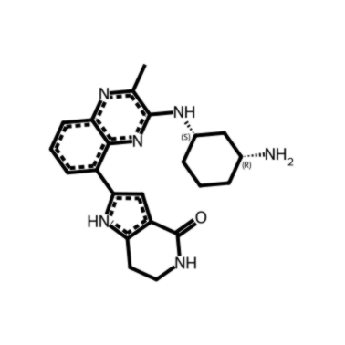 Cc1nc2cccc(-c3cc4c([nH]3)CCNC4=O)c2nc1N[C@H]1CCC[C@@H](N)C1